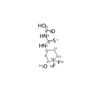 CO[C@@H]1C[C@H](NC(=S)NC(=O)O)CCC1(F)F